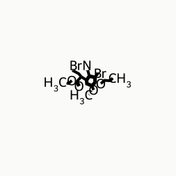 CCCOc1c(OC)cc(C(CCBr)C(=O)OCC)c(C#N)c1Br